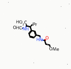 COCCC(=O)NCc1cccc(C(C(C)C)C(NC=O)C(=O)O)c1